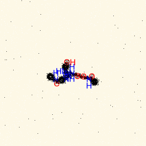 O=C(NCCOCCOCCNc1nc(Nc2ccc(O)cc2)nc(Nc2ccc(C(=O)NCC3CCCCC3)cc2)n1)c1ccccc1